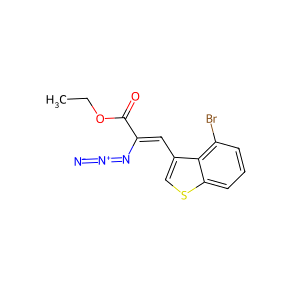 CCOC(=O)/C(=C/c1csc2cccc(Br)c12)N=[N+]=[N-]